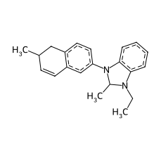 CCN1c2ccccc2N(c2ccc3c(c2)C=CC(C)C3)C1C